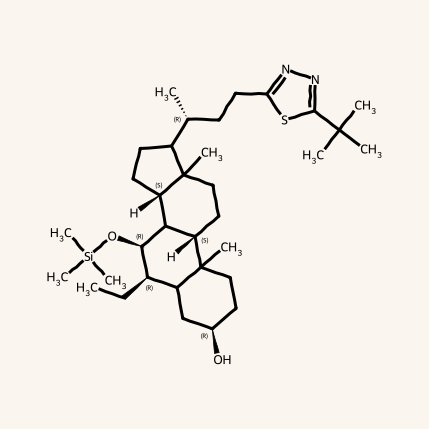 CC[C@@H]1C2C[C@H](O)CCC2(C)[C@H]2CCC3(C)C([C@H](C)CCc4nnc(C(C)(C)C)s4)CC[C@H]3C2[C@@H]1O[Si](C)(C)C